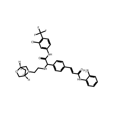 Nc1ccccc1NC(=O)C=Cc1ccc(C(NCCN2C[C@@H]3C[C@H]2CO3)C(=O)Nc2ccc(C(F)(F)F)c(Cl)c2)cc1